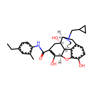 CCc1ccc(NC(=O)C2=C(O)[C@@H]3Oc4c(O)ccc5c4[C@@]34CCN(CC3CC3)[C@H](C5)[C@]4(O)C2)c(C)c1